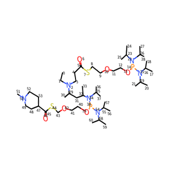 CCN(CCC(=O)SCCOCCOP(N(C(C)C)C(C)C)N(C(C)C)C(C)C)C(C)CC(C)N(C(C)C)P(OCCOCSC(=O)C1CCN(C)CC1)N(C(C)C)C(C)C